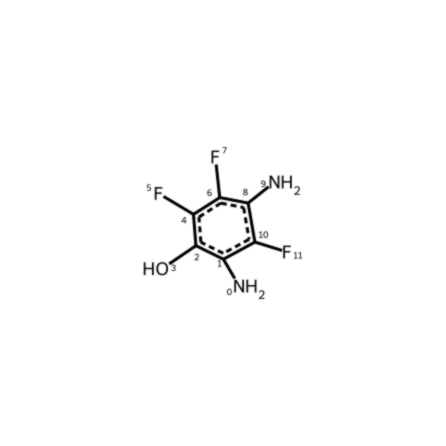 Nc1c(O)c(F)c(F)c(N)c1F